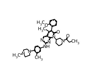 CCC(=O)N1CCCC(n2c(=O)c(-c3ccccc3OC)c(C)c3cnc(Nc4ccc(N5CCN(C)CC5)c(C)c4)nc32)C1